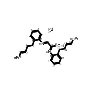 CCCC=CCCc1ccccc1N=CC(CCCCCCCC)=Nc1ccccc1CCC=CCCC.[Pd]